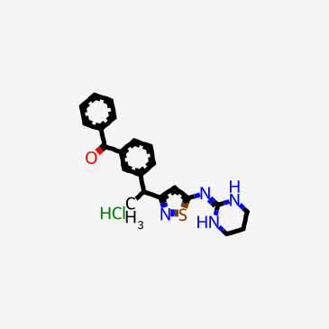 CC(c1cccc(C(=O)c2ccccc2)c1)c1cc(N=C2NCCCN2)sn1.Cl